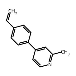 C=Cc1ccc(-c2ccnc(C)c2)cc1